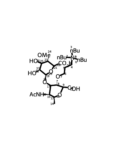 CCCC[N+](CCCC)(CCCC)CCCO[C@@H]1C(CO)O[C@@H](C)[C@@H](NC(C)=O)C1O[C@@H]1OC(C(=O)O)[C@@H](OC)C(O)[C@@H]1O